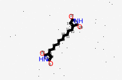 O=C1C=C(CCCCCCCCCCC2=CC(=O)NC2=O)C(=O)N1